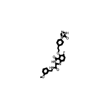 COc1cccc(CNC(=O)c2nc3ccc(F)c(OCCc4ccc(-n5cn[nH]c5=O)cc4)c3c(=O)[nH]2)c1